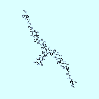 C=CC(=O)OCCCCCCOc1ccc(OC(=O)[C@H]2CC[C@H](OC(=O)c3ccc(OC(=O)[C@H]4CC[C@H](OC(=O)c5ccc(OCCCCCCOC(=O)C=C)cc5)CC4)c4sc(-c5cc6c(C)cc(C)cc6o5)nc34)CC2)cc1